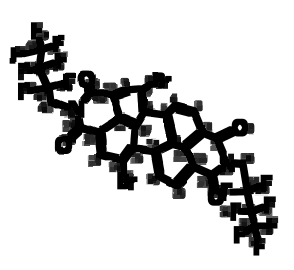 O=C1c2ccc3c4c(Br)cc5c6c(cc(Br)c(c7ccc(c2c37)C(=O)N1CC(F)(F)C(F)(F)C(F)(F)F)c64)C(=O)N(CC(F)(F)C(F)(F)C(F)(F)F)C5=O